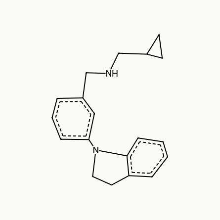 c1cc(CNCC2CC2)cc(N2CCc3ccccc32)c1